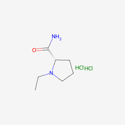 CCN1CCC[C@H]1C(N)=O.Cl.Cl